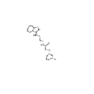 Cc1cccc(OCC(=O)NCCCNC2=NCc3ccccc32)c1